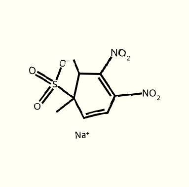 CC1C([N+](=O)[O-])=C([N+](=O)[O-])C=CC1(C)S(=O)(=O)[O-].[Na+]